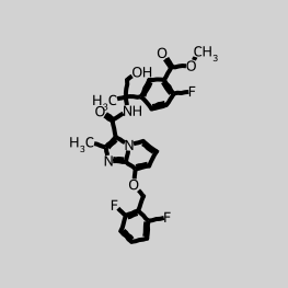 COC(=O)c1cc(C(C)(CO)NC(=O)c2c(C)nc3c(OCc4c(F)cccc4F)cccn23)ccc1F